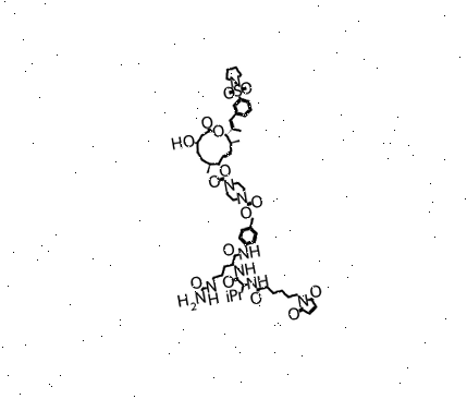 C/C(=C\c1cccc(S(=O)(=O)N2CCCC2)c1)[C@H]1OC(=O)C[C@H](O)CC[C@H](C)[C@@H](OC(=O)N2CCN(C(=O)OCc3ccc(NC(=O)C(CCCNC(N)=O)NC(=O)C(NC(=O)CCCCCN4C(=O)C=CC4=O)C(C)C)cc3)CC2)/C=C/[C@@H]1C